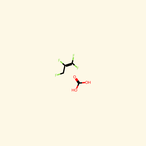 FCC(F)=C(F)F.O=C(O)O